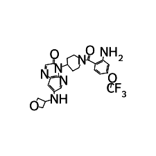 Nc1cc(OC(F)(F)F)ccc1C(=O)N1CCC(n2c(=O)cnc3cc(NC4COC4)cnc32)CC1